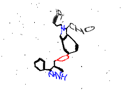 CC(C)CCN1Cc2cc(OCc3c[nH]nc3-c3ccccc3)ccc2C1C=O